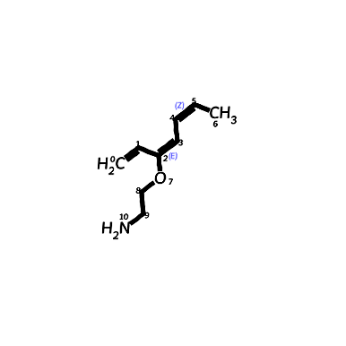 C=C/C(=C\C=C/C)OCCN